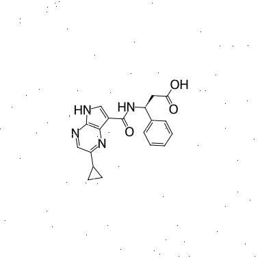 O=C(O)C[C@H](NC(=O)c1c[nH]c2ncc(C3CC3)nc12)c1ccccc1